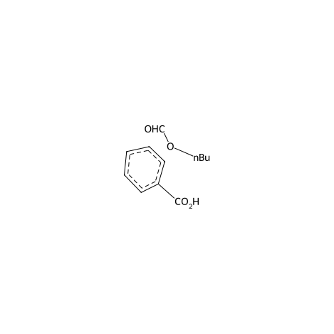 CCCCOC=O.O=C(O)c1ccccc1